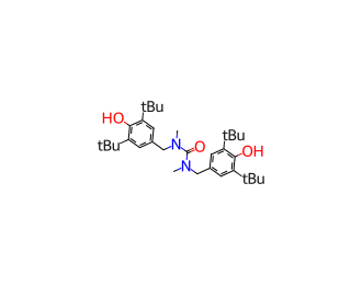 CN(Cc1cc(C(C)(C)C)c(O)c(C(C)(C)C)c1)C(=O)N(C)Cc1cc(C(C)(C)C)c(O)c(C(C)(C)C)c1